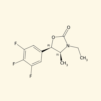 CCN1C(=O)O[C@H](c2cc(F)c(F)c(F)c2)[C@@H]1C